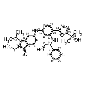 CCn1c(=O)c2ccc(Nc3cc(N[C@H](CO)c4ccccc4)c(-c4nnc(C(C)(C)O)o4)cn3)cc2n1C(C)C